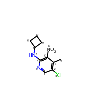 Cc1c(Cl)cnc(NC2CCC2)c1[N+](=O)[O-]